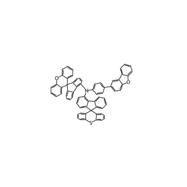 c1ccc2c(c1)Oc1ccccc1C21c2ccccc2-c2c(N(c3ccc(-c4ccc5oc6ccccc6c5c4)cc3)c3cccc4c3-c3ccccc3C43c4ccccc4Sc4ccccc43)cccc21